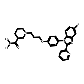 CCN(CC)C(=O)C1CCCN(CCCOc2ccc(-n3c(-c4ccccn4)nc4cc(F)ccc43)cc2)C1